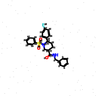 O=C(NCc1ccccc1)[C@@H]1CC[C@H](c2ccc(F)cc2)N(S(=O)(=O)c2ccccc2)C1